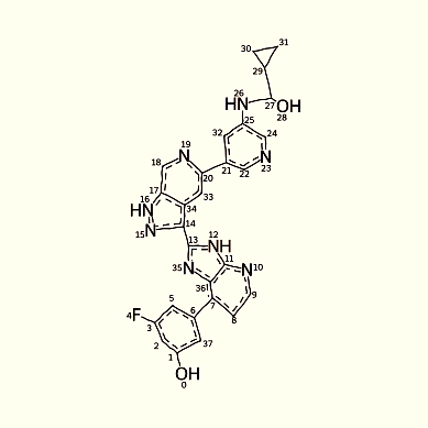 Oc1cc(F)cc(-c2ccnc3[nH]c(-c4n[nH]c5cnc(-c6cncc(NC(O)C7CC7)c6)cc45)nc23)c1